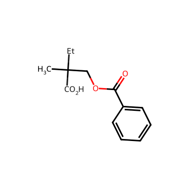 CCC(C)(COC(=O)c1ccccc1)C(=O)O